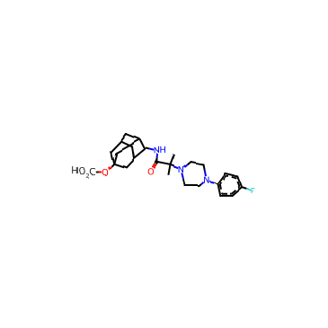 CC(C)(C(=O)NC1C2CC3CC1CC(OC(=O)O)(C3)C2)N1CCN(c2ccc(F)cc2)CC1